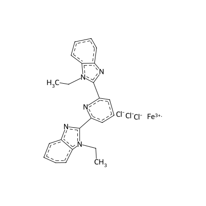 CCn1c(-c2cccc(-c3nc4ccccc4n3CC)n2)nc2ccccc21.[Cl-].[Cl-].[Cl-].[Fe+3]